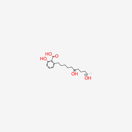 C[C@H](O)CCC[C@H](O)CCCCCc1cccc(O)c1C(=O)O